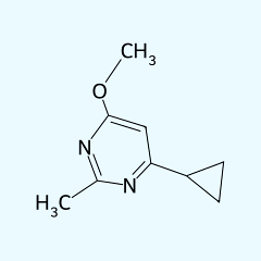 COc1cc(C2CC2)nc(C)n1